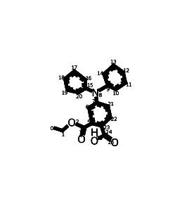 CCOC(=O)c1cc(N(c2ccccc2)c2ccccc2)ccc1C(=O)O